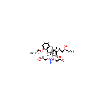 CCCCCC(O)CC[C@@H]1[C@H]2Cc3cccc(OCC(=O)O)c3C[C@H]2C[C@H]1O.OCCONOCCO